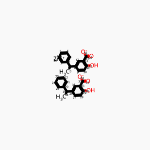 CC(c1ccccc1)c1ccc(O)c(C(=O)[O-])c1.CC(c1ccccc1)c1ccc(O)c(C(=O)[O-])c1.[Zn+2]